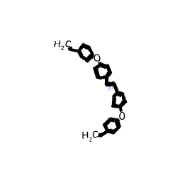 C=Cc1ccc(Oc2ccc(/C=C/c3ccc(Oc4ccc(C=C)cc4)cc3)cc2)cc1